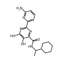 CC(NC(=O)c1nc(-c2cccc(N)n2)nc(O)c1O)C1CCCCC1